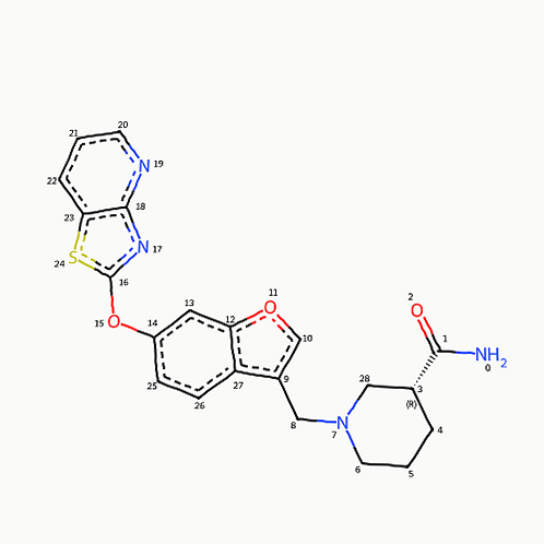 NC(=O)[C@@H]1CCCN(Cc2coc3cc(Oc4nc5ncccc5s4)ccc23)C1